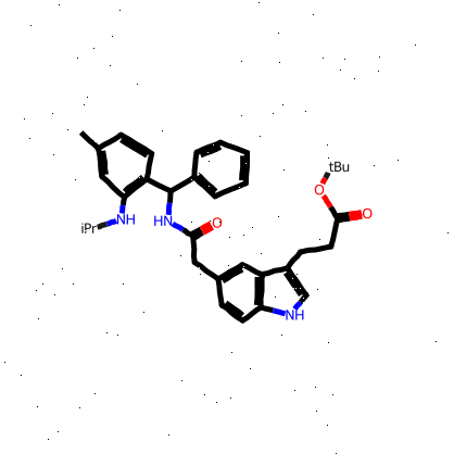 Cc1ccc(C(NC(=O)Cc2ccc3[nH]cc(CCC(=O)OC(C)(C)C)c3c2)c2ccccc2)c(NC(C)C)c1